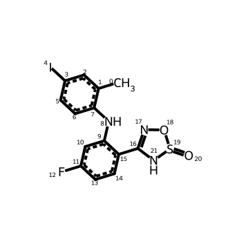 Cc1cc(I)ccc1Nc1cc(F)ccc1C1=NOS(=O)N1